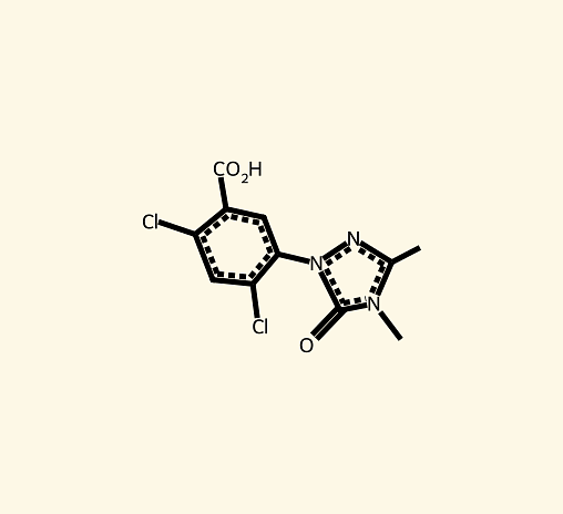 Cc1nn(-c2cc(C(=O)O)c(Cl)cc2Cl)c(=O)n1C